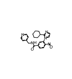 O=Nc1ccc(C(=O)NCc2ccncc2)cc1-n1ccnc1C1CCCCC1